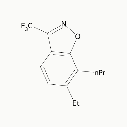 CCCc1c(CC)ccc2c(C(F)(F)F)noc12